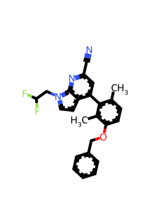 Cc1ccc(OCc2ccccc2)c(C)c1-c1cc(C#N)nc2c1ccn2CC(F)F